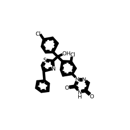 O=c1cnn(-c2ccc(C(O)(c3ccc(Cl)cc3)c3nc(-c4ccccc4)cs3)c(Cl)c2)c(=O)[nH]1